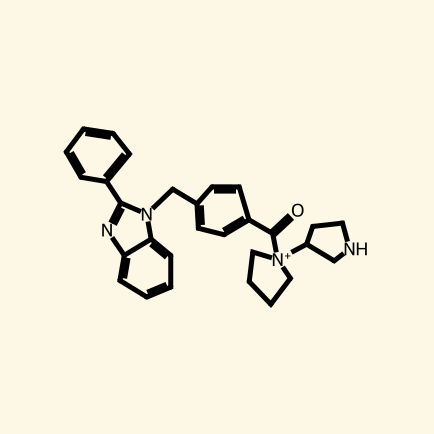 O=C(c1ccc(Cn2c(-c3ccccc3)nc3ccccc32)cc1)[N+]1(C2CCNC2)CCCC1